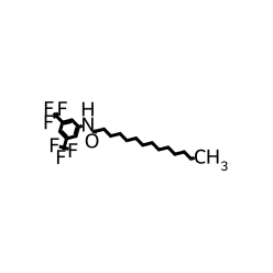 CCCCCCCCCCCCCC(=O)Nc1cc(C(F)(F)F)cc(C(F)(F)F)c1